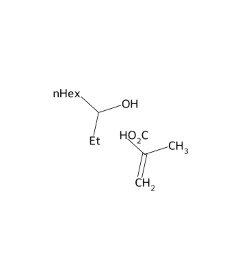 C=C(C)C(=O)O.CCCCCCC(O)CC